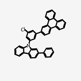 Clc1cc(-c2ccc3c4ccccc4c4ccccc4c3c2)cc(-n2c3ccccc3c3ccc(-c4ccccc4)cc32)c1